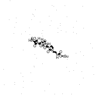 CC(C)(C)OC(=O)NCCN1CCN(C(=O)NS(=O)(=O)NC(=O)N2C[C@H](NC(=O)O)C2=O)C1=O